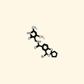 Cc1cc(C)c(CNC(=O)c2ccc3c(c2)C(Br)OC2(CCCC2)O3)c(=O)[nH]1